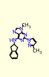 Cc1ccn(-c2nc(NC3Cc4ccccc4C3)c3ncn(C)c3n2)n1